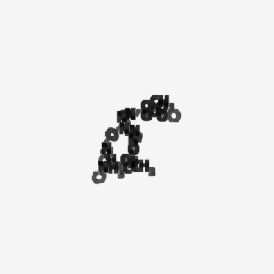 CC(OC(=O)CCn1ccnc1CN(Cc1ccc(CN2CCC3(CCN(C4CCCCC4)CC3)C2)cc1)Cc1nccn1COCC[Si](C)(C)C)OC(=O)OC1CCCCC1